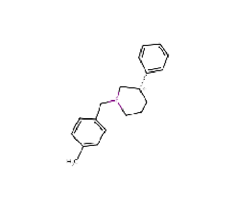 Cc1ccc(CP2CCC[C@@H](c3ccccc3)C2)cc1